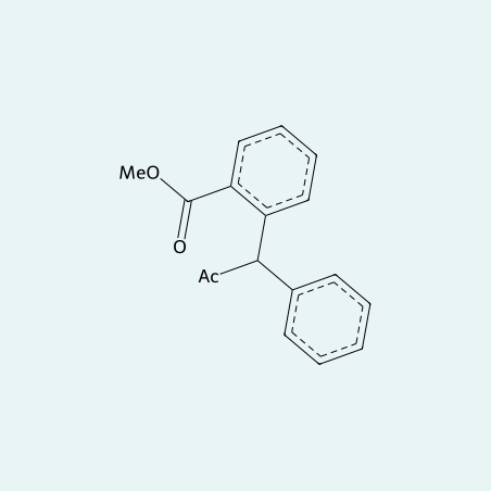 COC(=O)c1ccccc1C(C(C)=O)c1ccccc1